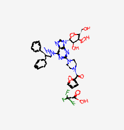 O=C(O)C(F)(F)F.O=C(c1ccco1)N1CCN(c2nc(NCC(c3ccccc3)c3ccccc3)c3ncn([C@@H]4O[C@H](CO)[C@@H](O)[C@H]4O)c3n2)CC1